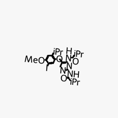 COc1cc(C(C)C)c(Oc2cnc(NC(=O)C(C)C)nc2NC(=O)C(C)C)cc1I